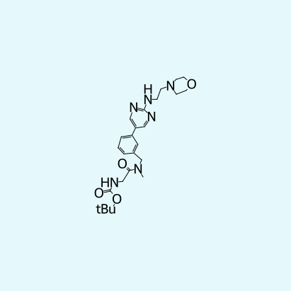 CN(Cc1cccc(-c2cnc(NCCN3CCOCC3)nc2)c1)C(=O)CNC(=O)OC(C)(C)C